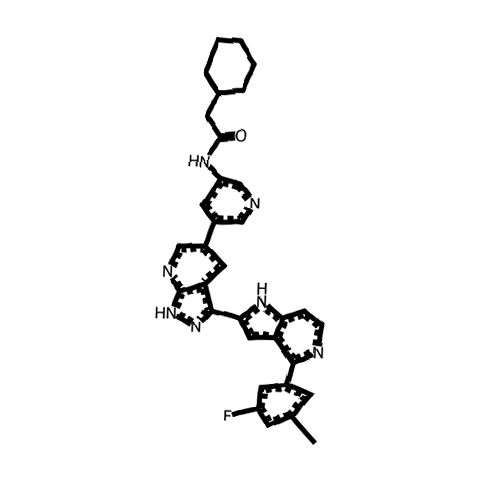 Cc1cc(F)cc(-c2nccc3[nH]c(-c4n[nH]c5ncc(-c6cncc(NC(=O)CC7CCCCC7)c6)cc45)cc23)c1